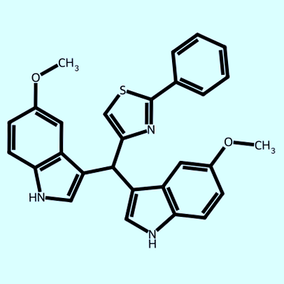 COc1ccc2[nH]cc(C(c3csc(-c4ccccc4)n3)c3c[nH]c4ccc(OC)cc34)c2c1